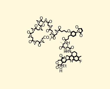 CC[C@@]1(O)C(=O)OCc2c1cc1n(c2=O)Cc2c-1nc1cc(F)c(C)c3c1c2[C@@H](NC(=O)[C@H](C)NC(=O)[C@H](C)NC(=O)CCc1ccc(N2C(=O)C=CC2=O)cc1OCCCC(=O)N(C)CC(=O)N(C)CC(=O)N(C)CC(=O)N(C)CC(=O)N(C)CC(=O)N(C)CC(=O)N(C)CC(=O)N(C)CC(=O)N(C)CC(=O)N(C)CC(=O)O)CC3